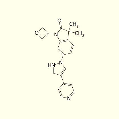 CC1(C)C(=O)N(C2COC2)c2cc(N3C=C(c4ccncc4)CN3)ccc21